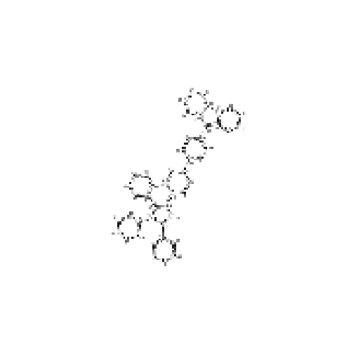 c1ccc(-c2oc3c4ccc(-c5ccc(-n6c7ccccc7c7ccccc76)cc5)cc4c4ccccc4c3c2-c2ccccc2)cc1